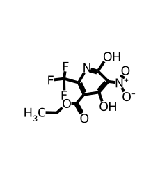 CCOC(=O)c1c(C(F)(F)F)nc(O)c([N+](=O)[O-])c1O